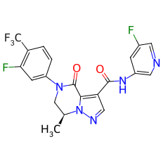 C[C@H]1CN(c2ccc(C(F)(F)F)c(F)c2)C(=O)c2c(C(=O)Nc3cncc(F)c3)cnn21